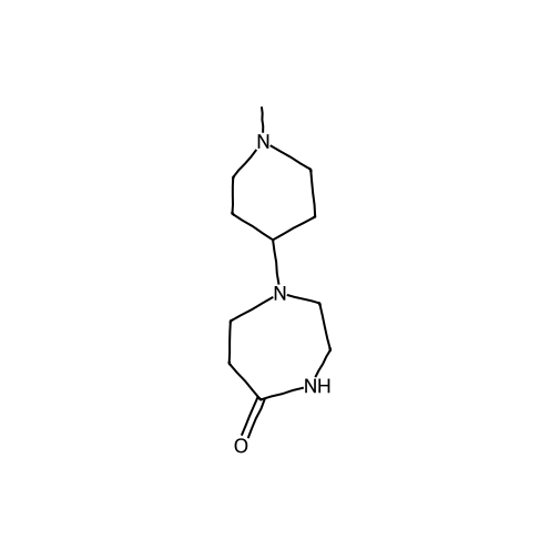 CN1CCC(N2CCNC(=O)CC2)CC1